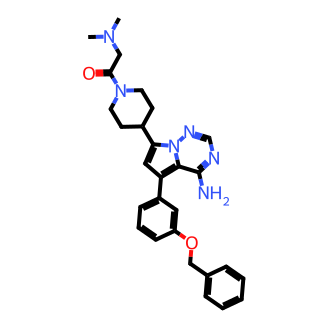 CN(C)CC(=O)N1CCC(c2cc(-c3cccc(OCc4ccccc4)c3)c3c(N)ncnn23)CC1